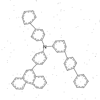 c1ccc(-c2ccc(-c3cccc(N(c4ccc(-c5ccccc5)cc4)c4ccc(-c5cc6ccccc6c6ccccc56)cc4)c3)cc2)cc1